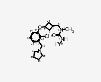 CC(C)NC(=O)N(C)CC1CC(Oc2cccc(CN3CCCC3)c2Cl)C1